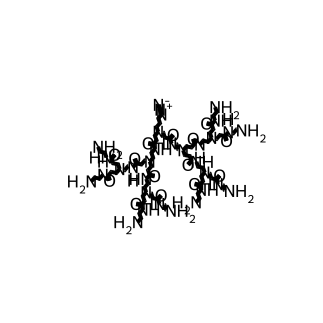 [N-]=[N+]=NCCCN(CCC(=O)NCCN(CCC(=O)NCCN(CCC(=O)NCCN)CCC(=O)NCCN)CCC(=O)NCCN(CCC(=O)NCCN)CCC(=O)NCCN)CCC(=O)NCCN(CCC(=O)NCCN(CCC(=O)NCCN)CCC(=O)NCCN)CCC(=O)NCCN(CCC(=O)NCCN)CCC(=O)NCCN